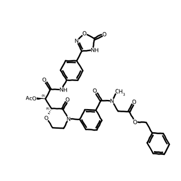 CC(=O)O[C@@H](C(=O)Nc1ccc(-c2noc(=O)[nH]2)cc1)[C@H]1OCCN(c2cccc(C(=O)N(C)CC(=O)OCc3ccccc3)c2)C1=O